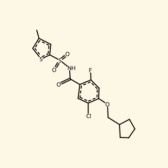 Cc1csc(S(=O)(=O)NC(=O)c2cc(Cl)c(OCC3CCCC3)cc2F)c1